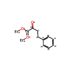 CCO[SiH](OCC)C(=O)CCc1ccccc1